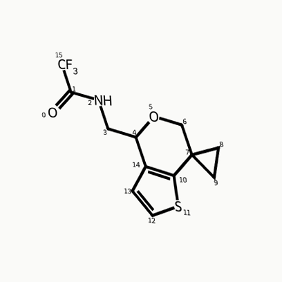 O=C(NCC1OCC2(CC2)c2sccc21)C(F)(F)F